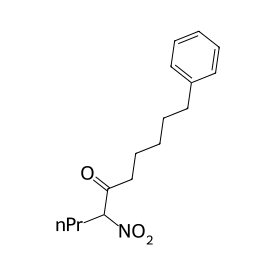 CCCC(C(=O)CCCCCc1ccccc1)[N+](=O)[O-]